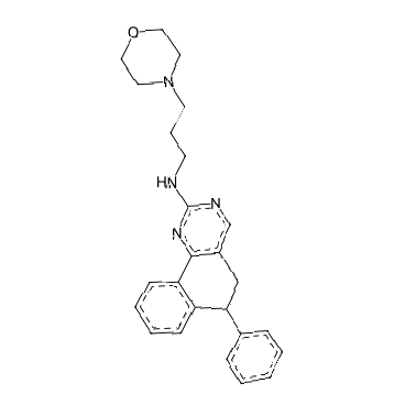 c1ccc(C2Cc3cnc(NCCCN4CCOCC4)nc3-c3ccccc32)cc1